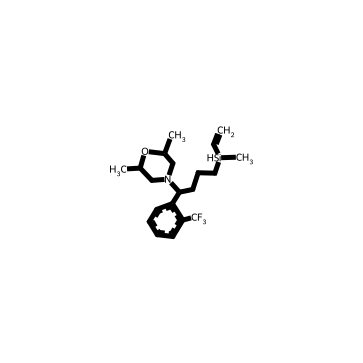 C=C[SiH](C)CCCC(c1ccccc1C(F)(F)F)N1CC(C)OC(C)C1